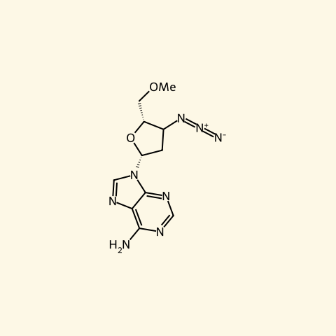 COC[C@H]1O[C@@H](n2cnc3c(N)ncnc32)CC1N=[N+]=[N-]